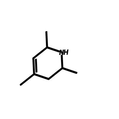 CC1=CC(C)NC(C)C1